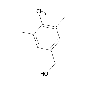 Cc1c(I)cc(CO)cc1I